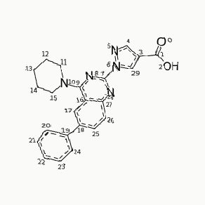 O=C(O)c1cnn(-c2nc(N3CCCCC3)c3cc(-c4ccccc4)ccc3n2)c1